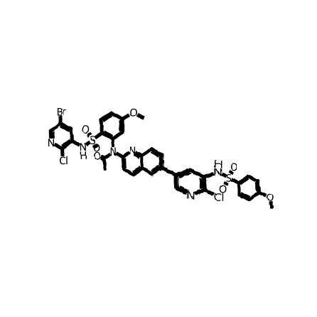 COc1ccc(S(=O)(=O)Nc2cc(-c3ccc4nc(N(C(C)=O)c5cc(OC)ccc5S(=O)(=O)Nc5cc(Br)cnc5Cl)ccc4c3)cnc2Cl)cc1